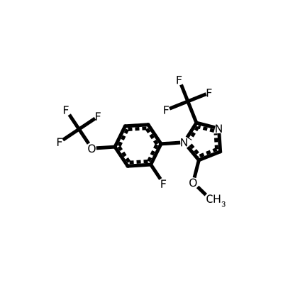 COc1cnc(C(F)(F)F)n1-c1ccc(OC(F)(F)F)cc1F